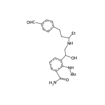 CCC(C)Nc1c(C(N)=O)cccc1C(O)CNC(CC)CCc1ccc(C=O)cc1